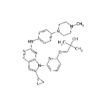 CN1CCN(c2ccc(Nc3ncc4cc(C5CC5)n(-c5cccc(OCC(C)(C)O)n5)c4n3)cc2)CC1